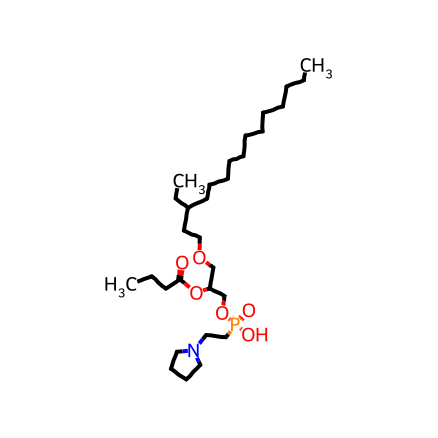 CCCCCCCCCCCCC(CC)CCOCC(COP(=O)(O)CCN1CCCC1)OC(=O)CCC